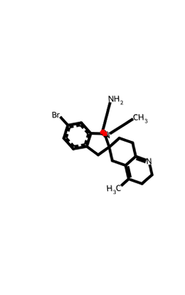 CC1=C2CC3(CCC2=NCC1)Cc1ccc(Br)cc1C31N=C(N)N(C)O1